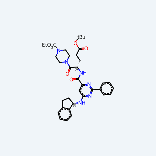 CCOC(=O)N1CCN(C(=O)[C@H](CCC(=O)OC(C)(C)C)NC(=O)c2cc(N[C@@H]3CCc4ccccc43)nc(-c3ccccc3)n2)CC1